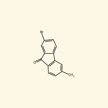 Cc1ccc2c(c1)-c1ccc(Br)cc1C2=O